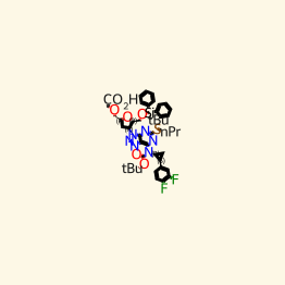 CCCSc1nc(N(C(=O)OC(C)(C)C)[C@@H]2C[C@H]2c2ccc(F)c(F)c2)c2nnn([C@@H]3C[C@H](COCC(=O)O)O[C@H]3CO[Si](c3ccccc3)(c3ccccc3)C(C)(C)C)c2n1